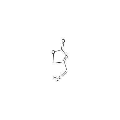 C=CC1=NC(=O)OC1